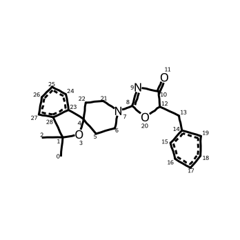 CC1(C)OC2(CCN(C3=NC(=O)C(Cc4ccccc4)O3)CC2)c2ccccc21